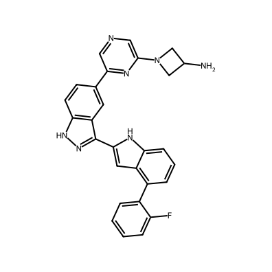 NC1CN(c2cncc(-c3ccc4[nH]nc(-c5cc6c(-c7ccccc7F)cccc6[nH]5)c4c3)n2)C1